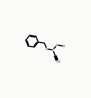 C#CP(OCC)OCc1ccccc1